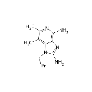 Cc1nc(N)c2nc(N)n(CC(C)C)c2c1C